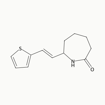 O=C1CCCCC(C=Cc2cccs2)N1